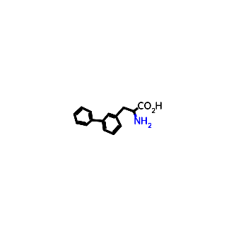 NC(Cc1cccc(-c2ccccc2)c1)C(=O)O